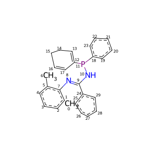 Cc1cccc(C)c1/N=C(/NP(C1=CCCC=C1)c1ccccc1)c1ccccc1